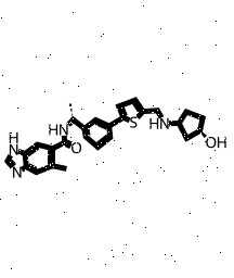 Cc1cc2nc[nH]c2cc1C(=O)N[C@H](C)c1cccc(-c2ccc(CNC3CC[C@@H](O)C3)s2)c1